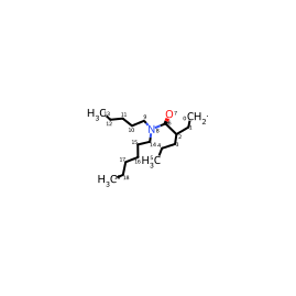 [CH2]CC(CCC)C(=O)N(CCCCC)CCCCCC